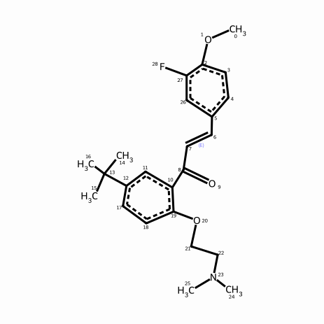 COc1ccc(/C=C/C(=O)c2cc(C(C)(C)C)ccc2OCCN(C)C)cc1F